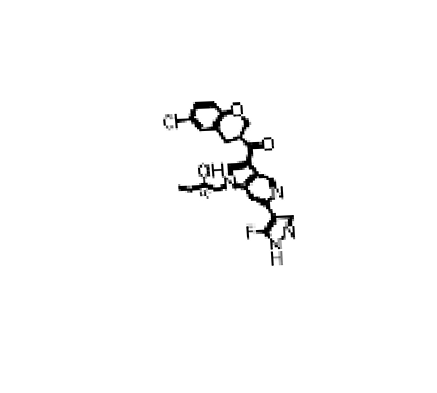 CC[C@H](O)Cn1cc(C(=O)C2COc3ccc(Cl)cc3C2)c2cnc(-c3cn[nH]c3F)cc21